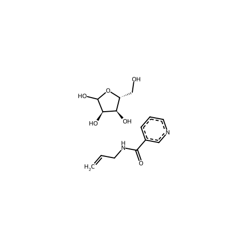 C=CCNC(=O)c1cccnc1.OC[C@H]1OC(O)[C@H](O)[C@@H]1O